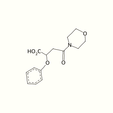 O=C(O)C(CC(=O)N1CCOCC1)Oc1ccccc1